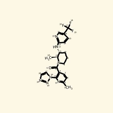 Cc1ccc(C(=O)N2CCC[C@@H](Nc3ccc(C(F)(F)F)cn3)[C@@H]2C)c(-n2ccnn2)n1